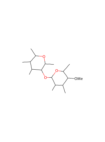 COC1C(C)OC(OC2C(C)OC(C)C(C)C2C)C(C)C1C